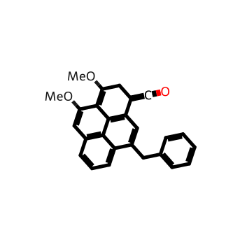 COC1=c2c(OC)cc3cccc4c(Cc5ccccc5)cc(c2c34)C(=C=O)C1